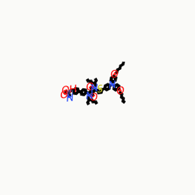 CCCCCCOc1ccc(N(c2ccc(OCCCCCC)cc2)c2ccc(-c3ccc(C4=C5C(=O)N(CC(CC)CCCC)C(c6ccc(-c7ccc(/C=C(\C#N)C(=O)O)cc7)cc6)=C5C(=O)N4CC(CC)CCCC)s3)cc2)cc1